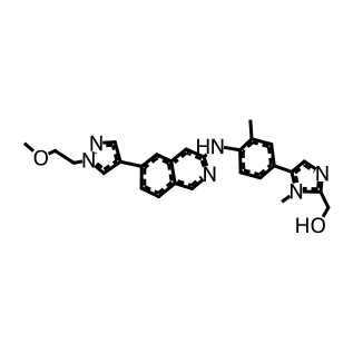 COCCn1cc(-c2ccc3cnc(Nc4ccc(-c5cnc(CO)n5C)cc4C)cc3c2)cn1